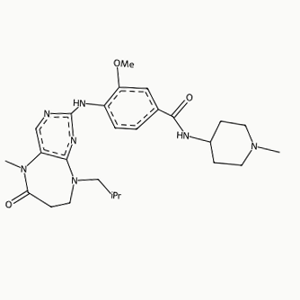 COc1cc(C(=O)NC2CCN(C)CC2)ccc1Nc1ncc2c(n1)N(CC(C)C)CCC(=O)N2C